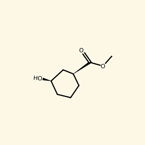 COC(=O)[C@H]1CCC[C@@H](O)C1